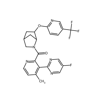 Cc1ccnc(C(=O)N2CC3CC(Oc4ccc(C(F)(F)F)cn4)C2C3)c1-c1ncc(F)cn1